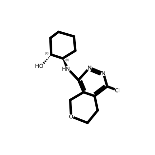 O[C@@H]1CCCC[C@H]1Nc1nnc(Cl)c2c1COCC2